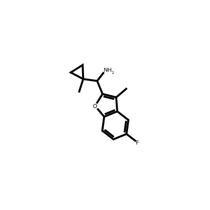 Cc1c(C(N)C2(C)CC2)oc2ccc(F)cc12